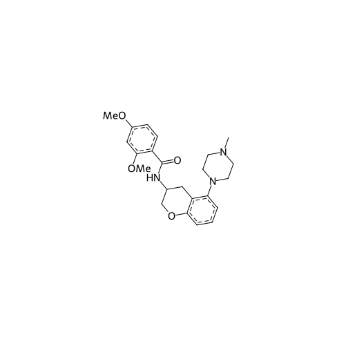 COc1ccc(C(=O)NC2COc3cccc(N4CCN(C)CC4)c3C2)c(OC)c1